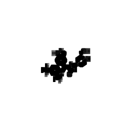 O=C1N=C(N2CCN[C@@H](CO)C2)SC1=C(Cc1ccc(C(F)(F)F)cc1C(F)(F)F)c1ccc2[nH]ncc2c1